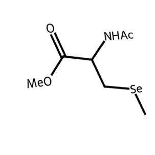 COC(=O)C(C[Se]C)NC(C)=O